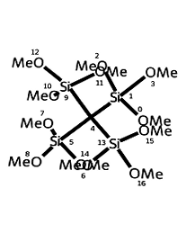 CO[Si](OC)(OC)C([Si](OC)(OC)OC)([Si](OC)(OC)OC)[Si](OC)(OC)OC